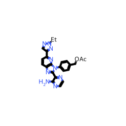 CCn1ncc(-c2ccc3nc(-c4nccnc4N)n(-c4ccc(COC(C)=O)cc4)c3n2)n1